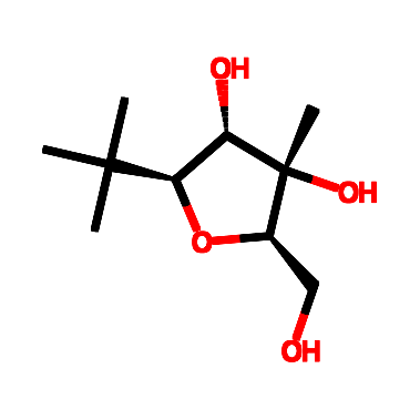 CC(C)(C)[C@@H]1O[C@H](CO)[C@@](C)(O)[C@H]1O